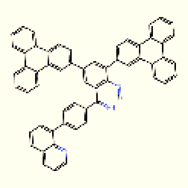 C=Nc1c(C(=N)c2ccc(-c3cccc4cccnc34)cc2)cc(-c2ccc3c4ccccc4c4ccccc4c3c2)cc1-c1ccc2c3ccccc3c3ccccc3c2c1